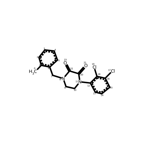 Cc1ccccc1CN1CCN(c2cccc(Cl)c2Cl)C(=O)C1=O